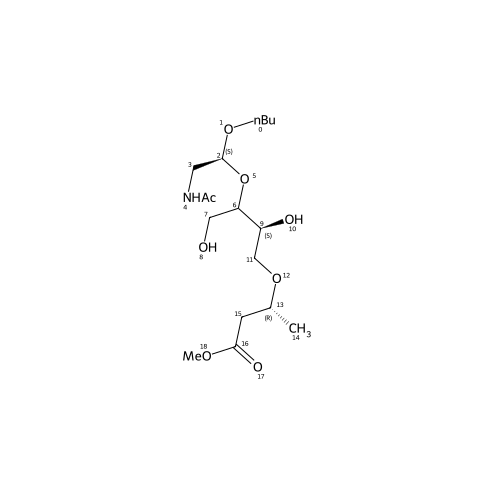 CCCCO[C@H](CNC(C)=O)OC(CO)[C@@H](O)CO[C@H](C)CC(=O)OC